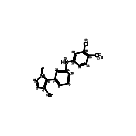 Cn1ncc(Br)c1-c1cccc(Nc2ccc(C(F)(F)F)c(Cl)c2)c1